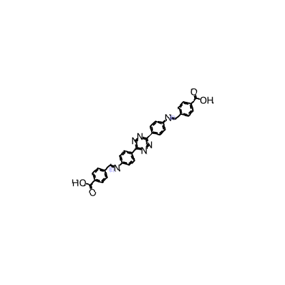 O=C(O)c1ccc(/C=N/c2ccc(-c3nnc(-c4ccc(/N=C/c5ccc(C(=O)O)cc5)cc4)nn3)cc2)cc1